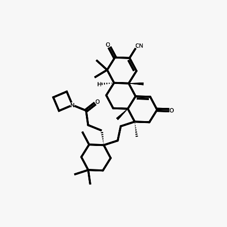 CC1CC(C)(C)CC[C@]1(CCC(=O)N1CCC1)CC[C@]1(C)CC(=O)C=C2[C@@]3(C)C=C(C#N)C(=O)C(C)(C)[C@@H]3CC[C@]21C